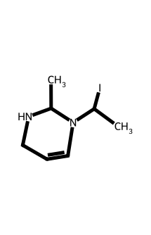 CC(I)N1C=CCNC1C